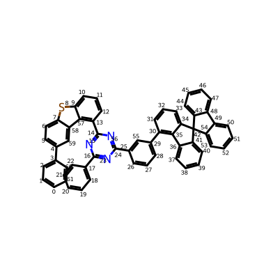 c1ccc(-c2ccc3sc4cccc(-c5nc(-c6ccccc6)nc(-c6cccc(-c7cccc8c7-c7ccccc7C87c8ccccc8-c8ccccc87)c6)n5)c4c3c2)cc1